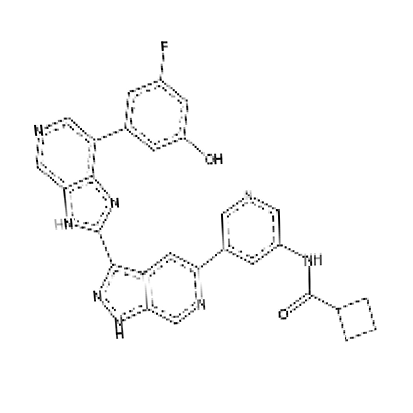 O=C(Nc1cncc(-c2cc3c(-c4nc5c(-c6cc(O)cc(F)c6)cncc5[nH]4)n[nH]c3cn2)c1)C1CCC1